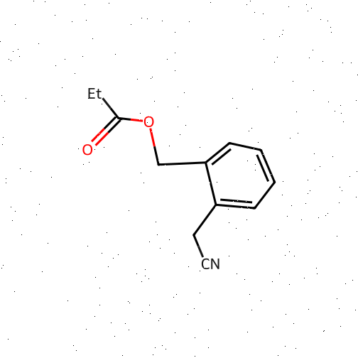 CCC(=O)OCc1ccccc1CC#N